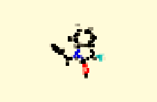 C#CCN1C(=O)C(F)c2ccccc21